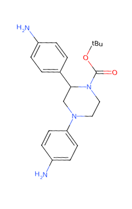 CC(C)(C)OC(=O)N1CCN(c2ccc(N)cc2)CC1c1ccc(N)cc1